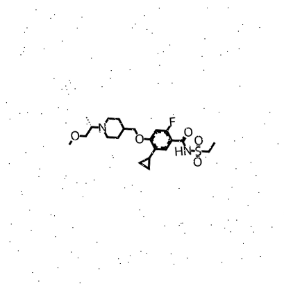 CCS(=O)(=O)NC(=O)c1cc(C2CC2)c(OCC2CCN([C@@H](C)COC)CC2)cc1F